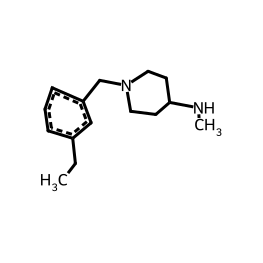 CCc1cccc(CN2CCC(NC)CC2)c1